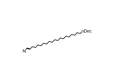 CCCCCCCCCCCCCCCCCCCCCCCCCCCCC=C[N]